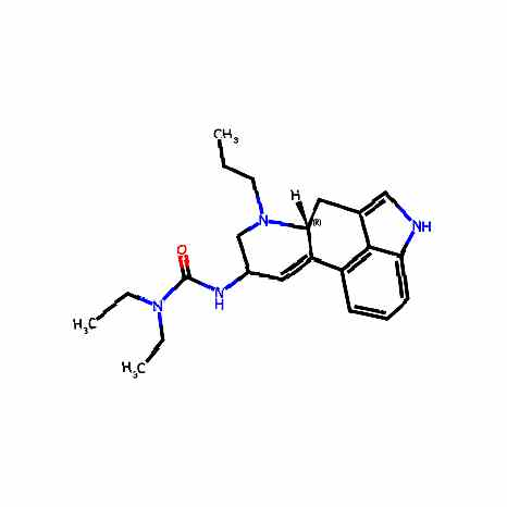 CCCN1CC(NC(=O)N(CC)CC)C=C2c3cccc4[nH]cc(c34)C[C@H]21